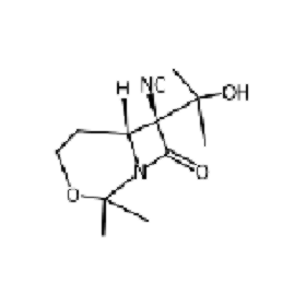 [C-]#[N+][C@@]1(C(C)(C)O)C(=O)N2[C@@H]1CCOC2(C)C